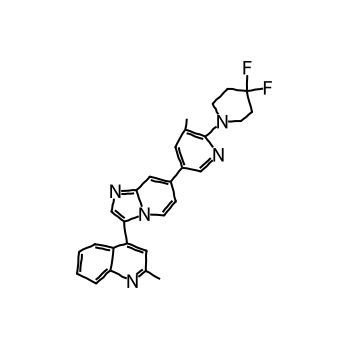 Cc1cc(-c2cnc3cc(-c4cnc(N5CCC(F)(F)CC5)c(C)c4)ccn23)c2ccccc2n1